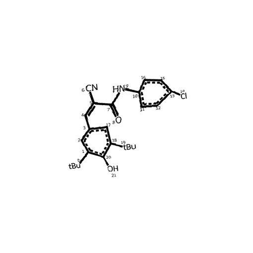 CC(C)(C)c1cc(C=C(C#N)C(=O)Nc2ccc(Cl)cc2)cc(C(C)(C)C)c1O